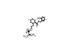 C=C(C)C(=O)OCCC1CCCCN1C(=O)CCc1ccccc1O